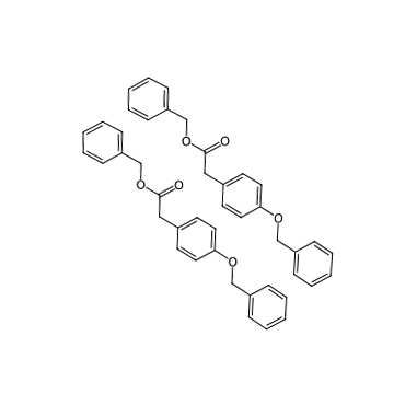 O=C(Cc1ccc(OCc2ccccc2)cc1)OCc1ccccc1.O=C(Cc1ccc(OCc2ccccc2)cc1)OCc1ccccc1